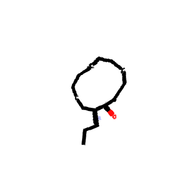 CC/C=C1\CCCCCCCCCCC1=O